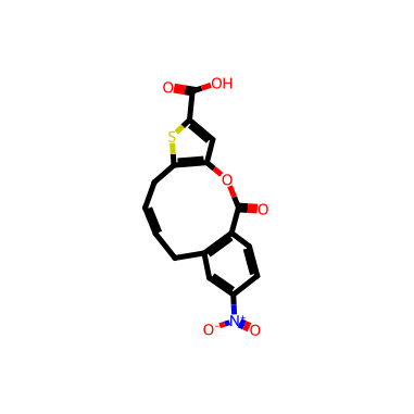 O=C(O)c1cc2c(s1)CC=CCc1cc([N+](=O)[O-])ccc1C(=O)O2